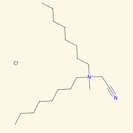 CCCCCCCC[N+](C)(CC#N)CCCCCCCC.[Cl-]